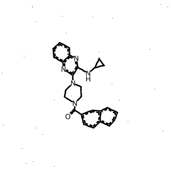 O=C(c1ccc2ccccc2c1)N1CCN(c2nc3ccccc3nc2NC2CC2)CC1